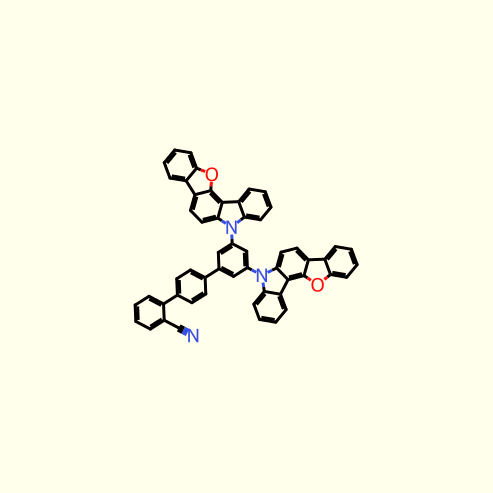 N#Cc1ccccc1-c1ccc(-c2cc(-n3c4ccccc4c4c5oc6ccccc6c5ccc43)cc(-n3c4ccccc4c4c5oc6ccccc6c5ccc43)c2)cc1